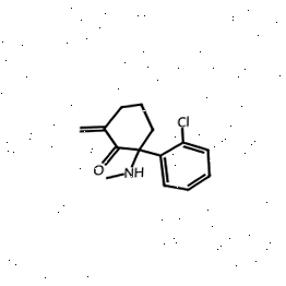 C=C1CCCC(NC)(c2ccccc2Cl)C1=O